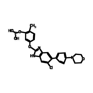 Cc1ccc(Oc2nc3cc(-c4ccc(N5CCOCC5)cc4)c(Cl)cc3[nH]2)cc1OP(O)O